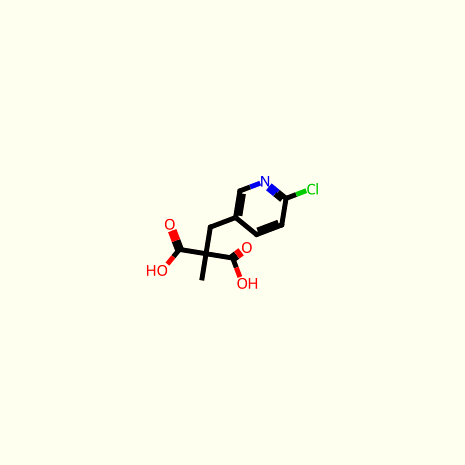 CC(Cc1ccc(Cl)nc1)(C(=O)O)C(=O)O